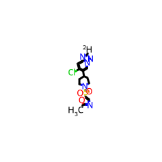 [2H]c1nc2cc(Cl)c(C3CCN(S(=O)(=O)c4cnc(C)o4)CC3)cn2n1